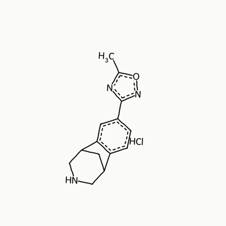 Cc1nc(-c2ccc3c(c2)C2CNCC3C2)no1.Cl